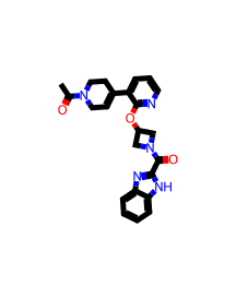 CC(=O)N1CC=C(c2cccnc2OC2CN(C(=O)c3nc4ccccc4[nH]3)C2)CC1